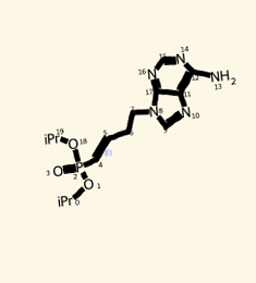 CC(C)OP(=O)(/C=C/CCn1cnc2c(N)ncnc21)OC(C)C